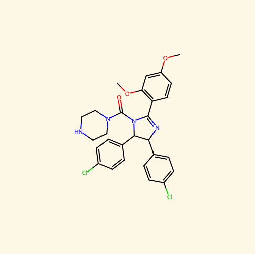 COc1ccc(C2=NC(c3ccc(Cl)cc3)C(c3ccc(Cl)cc3)N2C(=O)N2CCNCC2)c(OC)c1